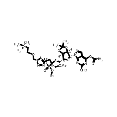 CCOP(=O)(OCC)[C@@](COC)(Cc1nnn(COCC[Si](C)(C)C)n1)OC[C@H]1O[C@@H](n2ncc3c(OC(N)=O)nc(C=O)nc32)[C@@H]2OC(C)(C)O[C@@H]21